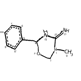 CN1COC(c2ccccc2)NC1=N